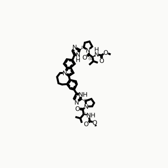 COC(=O)N[C@H](C(=O)N1CCC[C@H]1c1ncc(-c2ccc3c(c2)CCCCn2c-3cc3cc(-c4cnc([C@@H]5CCCN5C(=O)[C@@H](NC(=O)OC)C(C)C)[nH]4)ccc32)[nH]1)C(C)C